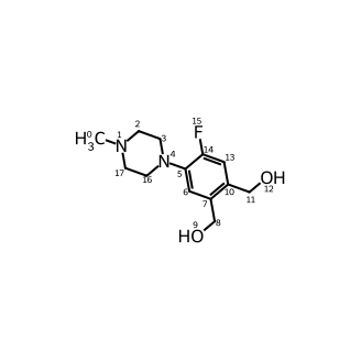 CN1CCN(c2cc(CO)c(CO)cc2F)CC1